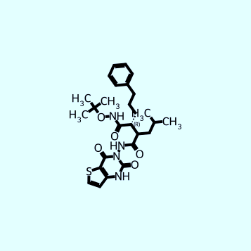 CC(C)CC(C(=O)Nn1c(=O)[nH]c2ccsc2c1=O)[C@@H](CCCc1ccccc1)C(=O)NOC(C)(C)C